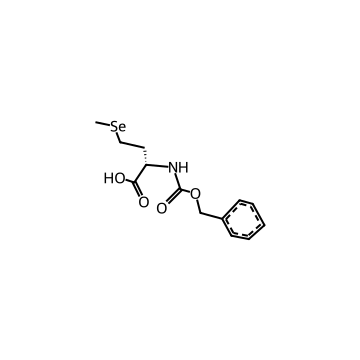 C[Se]CC[C@H](NC(=O)OCc1ccccc1)C(=O)O